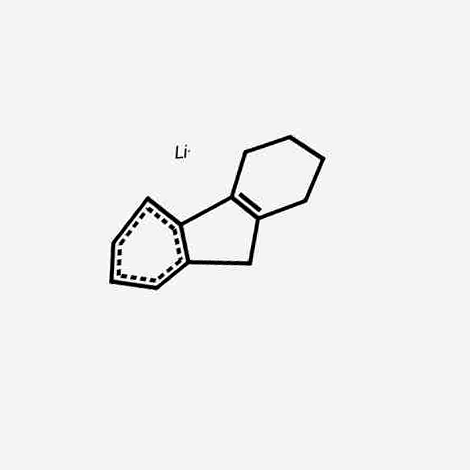 [Li].c1ccc2c(c1)CC1=C2CCCC1